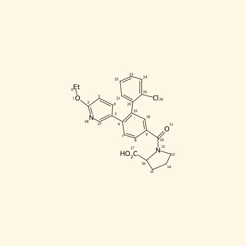 CCOc1ccc(-c2ccc(C(=O)N3CCCC3C(=O)O)cc2-c2ccccc2Cl)cn1